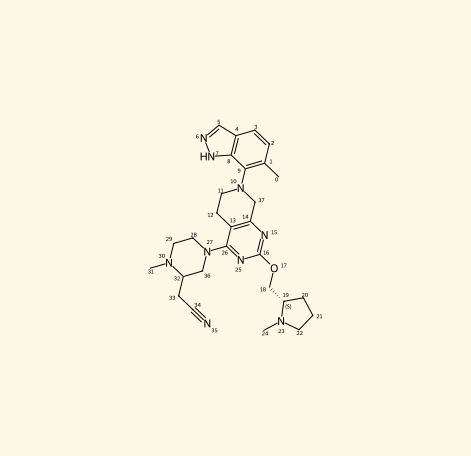 Cc1ccc2cn[nH]c2c1N1CCc2c(nc(OC[C@@H]3CCCN3C)nc2N2CCN(C)C(CC#N)C2)C1